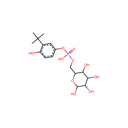 CC(C)(C)c1cc(OP(=O)(O)OCC2OC(O)C(O)C(O)C2O)ccc1O